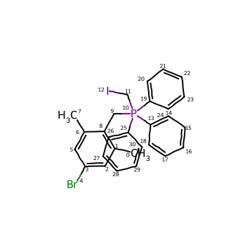 Cc1cc(Br)cc(C)c1CP(CI)(c1ccccc1)(c1ccccc1)c1ccccc1